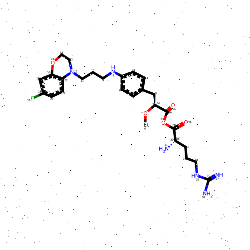 CCO[C@@H](Cc1ccc(NCCCN2CCOc3cc(F)ccc32)cc1)C(=O)OC(=O)[C@@H](N)CCCNC(=N)N